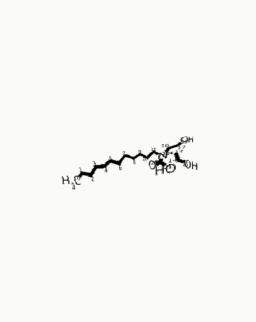 CCCCCCCCCCCC[N+](CCO)(CCO)C(=O)O